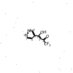 O=C(/C=C(\O)c1ccnnc1)C(F)(F)F